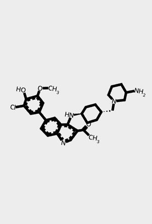 COc1cc(-c2ccc3ncc(C(C)=O)c(N[C@H]4CC[C@H](CN5CCCC(N)C5)CC4)c3c2)cc(Cl)c1O